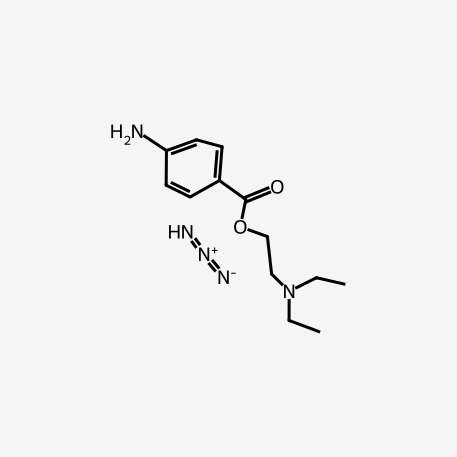 CCN(CC)CCOC(=O)c1ccc(N)cc1.[N-]=[N+]=N